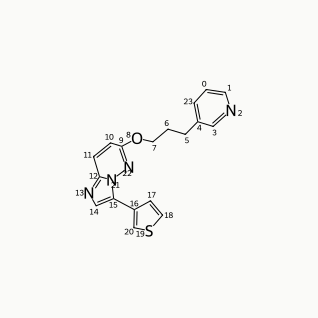 c1cncc(CCCOc2ccc3ncc(-c4ccsc4)n3n2)c1